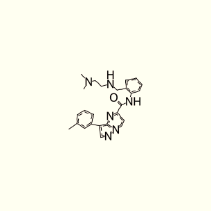 Cc1cccc(-c2cnn3ccc(C(=O)Nc4ccccc4CNCCN(C)C)nc23)c1